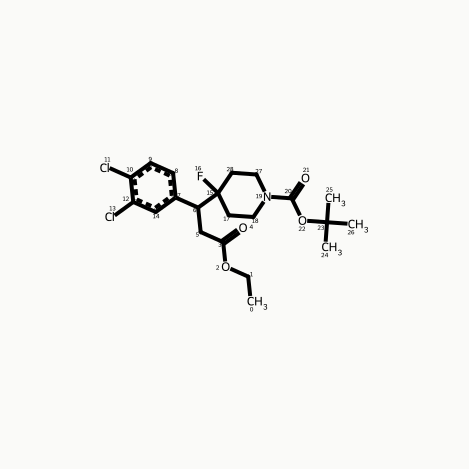 CCOC(=O)CC(c1ccc(Cl)c(Cl)c1)C1(F)CCN(C(=O)OC(C)(C)C)CC1